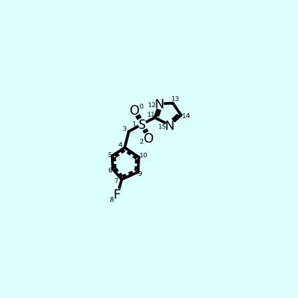 O=S(=O)(Cc1ccc(F)cc1)C1=NCC=N1